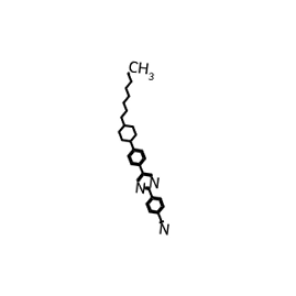 CCCCCCCCC1CCC(c2ccc(-c3cnc(-c4ccc(C#N)cc4)nc3)cc2)CC1